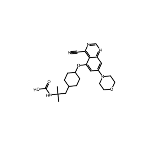 CC(C)(CC1CCC(Oc2cc(N3CCOCC3)cc3ncnc(C#N)c23)CC1)NC(=O)O